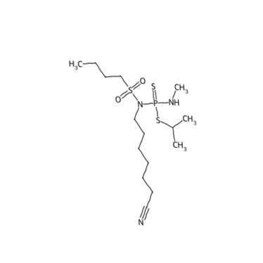 CCCCS(=O)(=O)N(CCCCCCC#N)P(=S)(NC)SC(C)C